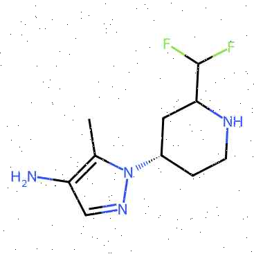 Cc1c(N)cnn1[C@H]1CCNC(C(F)F)C1